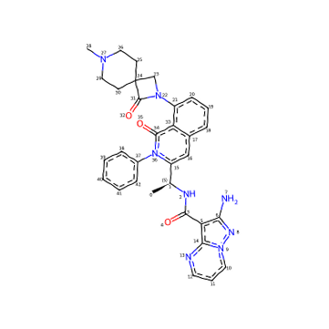 C[C@H](NC(=O)c1c(N)nn2cccnc12)c1cc2cccc(N3CC4(CCN(C)CC4)C3=O)c2c(=O)n1-c1ccccc1